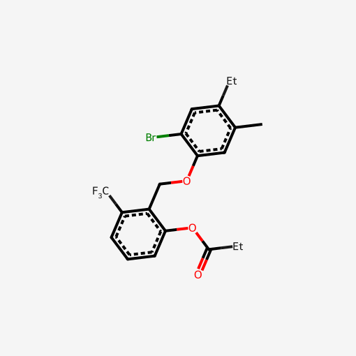 CCC(=O)Oc1cccc(C(F)(F)F)c1COc1cc(C)c(CC)cc1Br